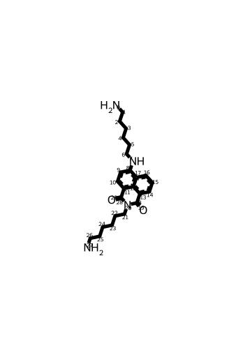 NCCCCCCNc1ccc2c3c(cccc13)C(=O)N(CCCCCCN)C2=O